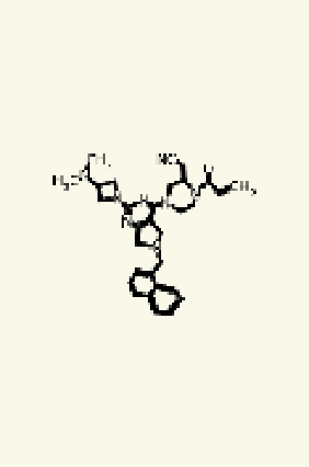 C=CC(=O)N1CCN(c2nc(N3CC(N(C)C)C3)nc3c2CN(Cc2cccc4ccccc24)C3)CC1CC#N